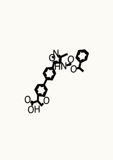 Cc1noc(-c2ccc(-c3ccc4c(c3)OCC4C(=O)O)cc2)c1NC(=O)OC(C)c1ccccc1